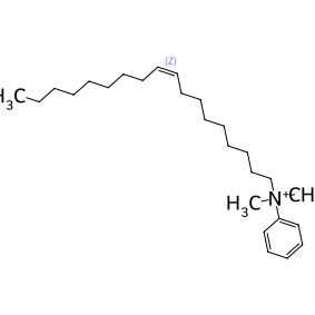 CCCCCCCC/C=C\CCCCCCCC[N+](C)(C)c1ccccc1